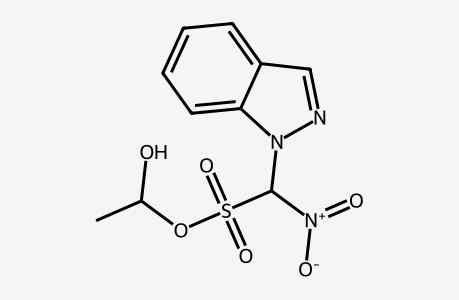 CC(O)OS(=O)(=O)C(n1ncc2ccccc21)[N+](=O)[O-]